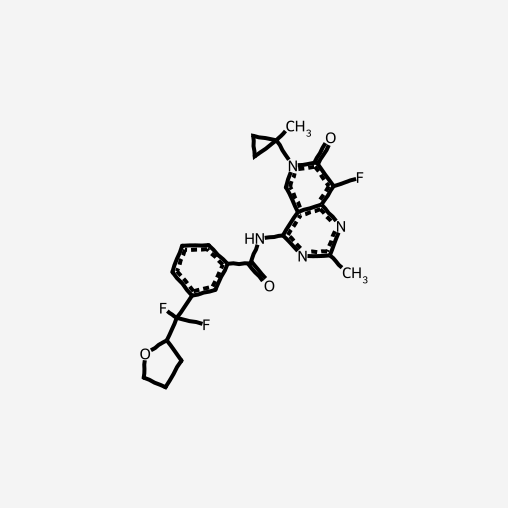 Cc1nc(NC(=O)c2cccc(C(F)(F)C3CCCO3)c2)c2cn(C3(C)CC3)c(=O)c(F)c2n1